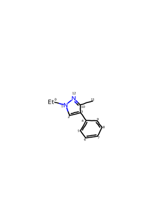 CCn1cc(-c2ccccc2)c(C)n1